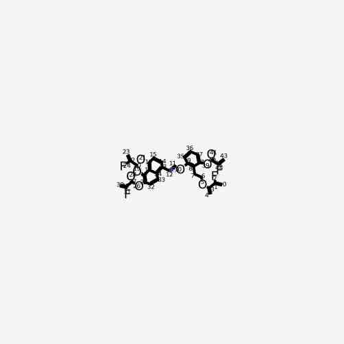 C=C(F)C(=C)OCCc1c(O/C=C/c2cccc3c(OC(=O)C(=C)F)c(OC(=O)C(=C)F)ccc23)cccc1OC(=O)C(=C)F